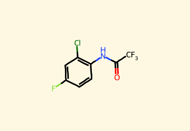 O=C(Nc1ccc(F)cc1Cl)C(F)(F)F